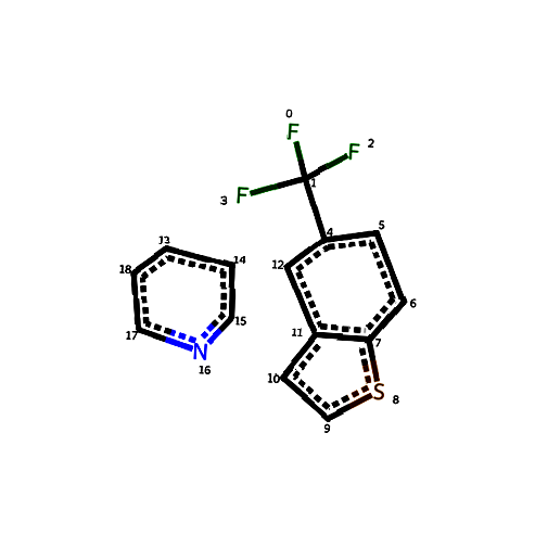 FC(F)(F)c1ccc2sccc2c1.c1ccncc1